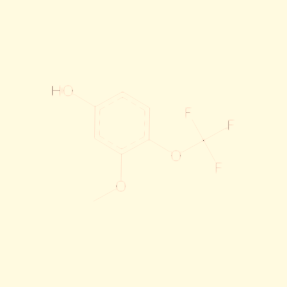 COc1cc(O)ccc1OC(F)(F)F